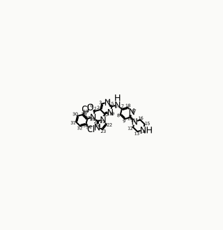 O=c1c2cnc(Nc3ccc(N4CCNCC4)nc3)nc2n2ccnc2n1-c1c(Cl)cccc1Cl